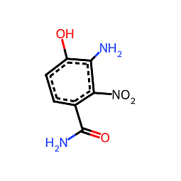 NC(=O)c1ccc(O)c(N)c1[N+](=O)[O-]